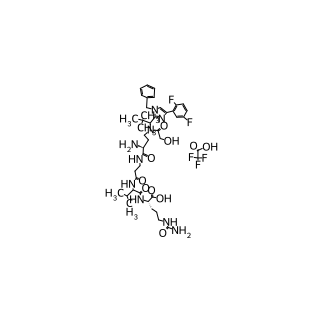 CC(C)[C@H](NC(=O)CCNC(=O)[C@@H](N)CCN(C(=O)CO)[C@@H](c1nc(-c2cc(F)ccc2F)cn1Cc1ccccc1)C(C)(C)C)C(=O)N[C@@H](CCCNC(N)=O)C(=O)O.O=C(O)C(F)(F)F